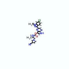 CC(CN1CCC(C#N)C1)NC(=O)Oc1c[nH]c2ncc(-c3nn(C)c4cc(Cl)ccc34)nc12